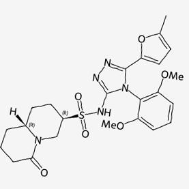 COc1cccc(OC)c1-n1c(NS(=O)(=O)[C@@H]2CC[C@H]3CCCC(=O)N3C2)nnc1-c1ccc(C)o1